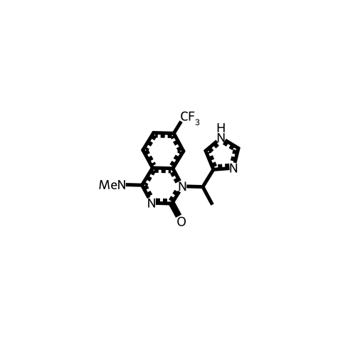 CNc1nc(=O)n(C(C)c2c[nH]cn2)c2cc(C(F)(F)F)ccc12